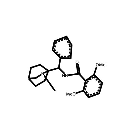 COc1cccc(OC)c1C(=O)NC(c1ccccc1)C12CCC(CC1)CN2C